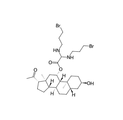 CC(=O)[C@H]1CC[C@H]2[C@@H]3CC[C@H]4C[C@H](O)CC[C@]4(C)[C@H]3[C@@H](OC(=O)C(NCCCBr)NCCCBr)C[C@]12C